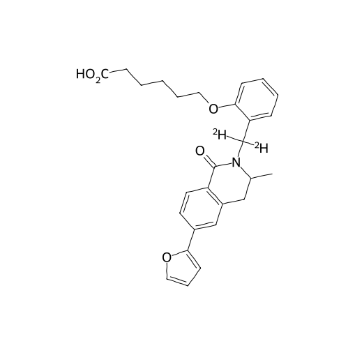 [2H]C([2H])(c1ccccc1OCCCCCC(=O)O)N1C(=O)c2ccc(-c3ccco3)cc2CC1C